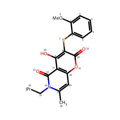 COc1ccccc1Sc1c(O)c2c(=O)n(CC(C)C)c(C)cc2oc1=O